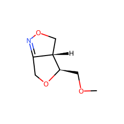 COC[C@H]1OCC2=NOC[C@@H]21